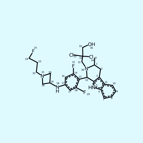 CC1Cc2c([nH]c3ccccc23)C(c2c(F)cc(NC3CN(CCCF)C3)cc2F)N1CC(Cl)(Cl)CO